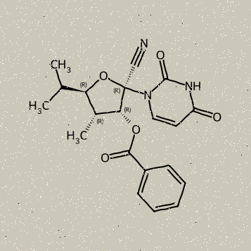 CC(C)[C@H]1O[C@@](C#N)(n2ccc(=O)[nH]c2=O)[C@H](OC(=O)c2ccccc2)[C@@H]1C